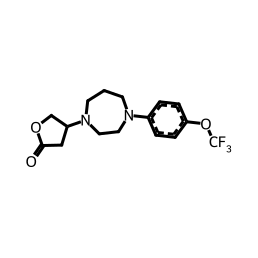 O=C1CC(N2CCCN(c3ccc(OC(F)(F)F)cc3)CC2)CO1